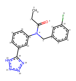 CCC(=O)N(Cc1cccc(F)c1)c1cccc(-c2nnn[nH]2)c1